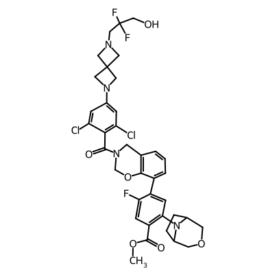 COC(=O)c1cc(F)c(-c2cccc3c2OCN(C(=O)c2c(Cl)cc(N4CC5(CN(CC(F)(F)CO)C5)C4)cc2Cl)C3)cc1N1C2CCC1COC2